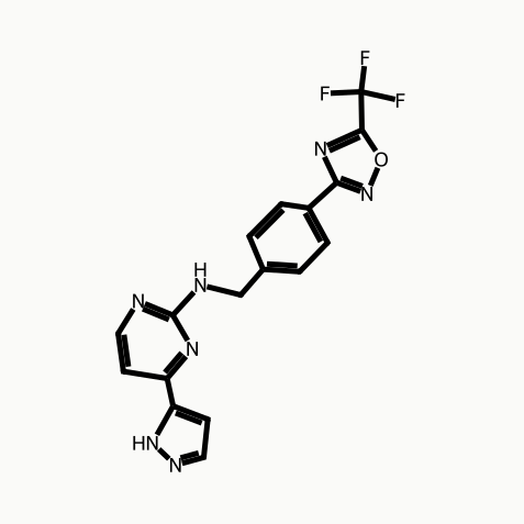 FC(F)(F)c1nc(-c2ccc(CNc3nccc(-c4ccn[nH]4)n3)cc2)no1